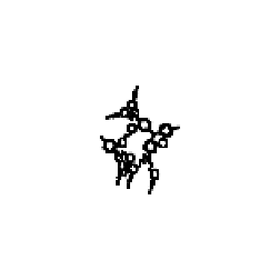 CC#COCCN(CCOC#CC)c1ccc2c(c1)Oc1cc(C)ccc1C2c1ccc(N(COC#CC)COC#CC)c(OCCOc2cc(C)ccc2N(COC#CC)COC#CC)c1